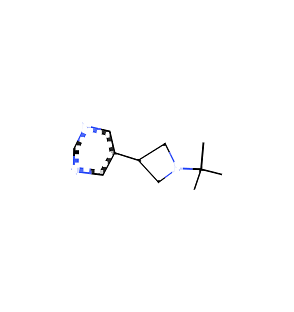 CC(C)(C)N1CC(c2cncnc2)C1